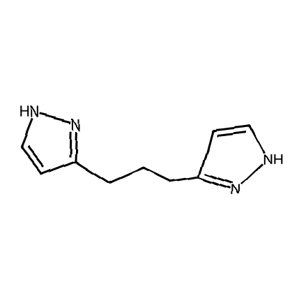 c1cc(CCCc2cc[nH]n2)n[nH]1